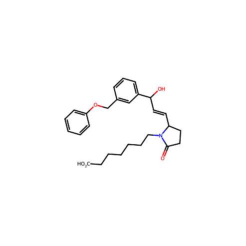 O=C(O)CCCCCCN1C(=O)CCC1C=CC(O)c1cccc(COc2ccccc2)c1